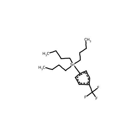 CCC[CH2][Sn]([CH2]CCC)([CH2]CCC)[c]1ccc(C(F)(F)F)cc1